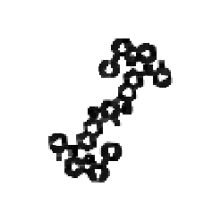 Cc1ccccc1N(c1ccc2cc3c(cc2c1)oc1c(C)c2c(cc13)oc1cc3cc(N(c4ccccc4C)c4cccc5c4oc4c(-c6ccccc6)cccc45)ccc3cc12)c1cccc2c1oc1c(-c3ccccc3)cccc12